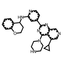 c1ccc2c(c1)OCCC2Nc1cc(-c2nc(N3CCNCC3)c3c(C4CC4)cncc3n2)ccn1